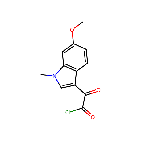 COc1ccc2c(C(=O)C(=O)Cl)cn(C)c2c1